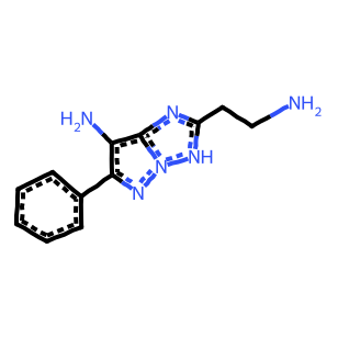 NCCc1nc2c(N)c(-c3ccccc3)nn2[nH]1